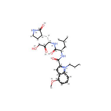 CCCn1c(C(=O)N[C@H](CC(C)C)C(=O)N[C@@H](C[C@@H]2CCNC2=O)C(=O)CO)cc2c(OC)cccc21